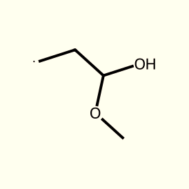 [CH2]CC(O)OC